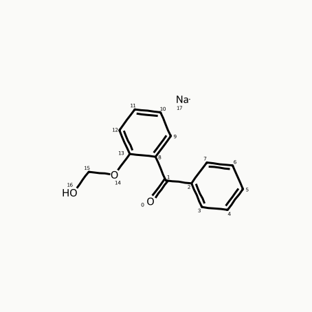 O=C(c1ccccc1)c1ccccc1OCO.[Na]